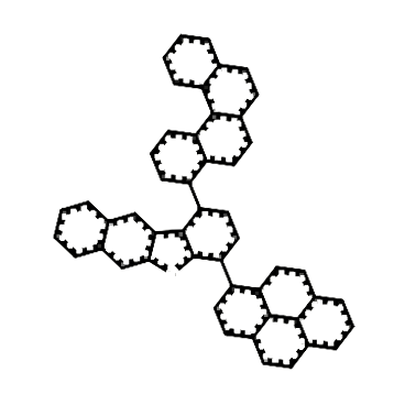 c1ccc2cc3c(cc2c1)oc1c(-c2ccc4ccc5cccc6ccc2c4c56)ccc(-c2cccc4c2ccc2ccc5ccccc5c24)c13